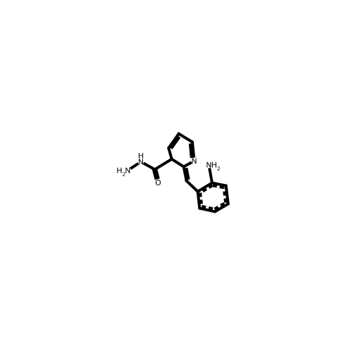 NNC(=O)C1C=CC=NC1=Cc1ccccc1N